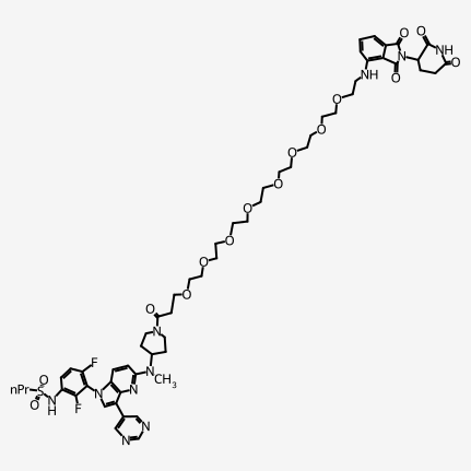 CCCS(=O)(=O)Nc1ccc(F)c(-n2cc(-c3cncnc3)c3nc(N(C)C4CCN(C(=O)CCOCCOCCOCCOCCOCCOCCOCCOCCNc5cccc6c5C(=O)N(C5CCC(=O)NC5=O)C6=O)CC4)ccc32)c1F